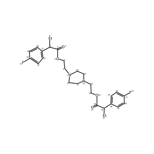 CCC(C(=O)OCCN1CCN(CCOC(=O)C(CC)c2ccc(F)cc2)CC1)c1ccc(F)cc1